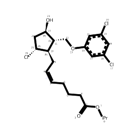 CC(C)OC(=O)CCC/C=C\C[C@@H]1[C@@H](COc2cc(Cl)cc(Cl)c2)[C@H](O)C[C@H]1Cl